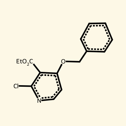 CCOC(=O)c1c(OCc2ccccc2)ccnc1Cl